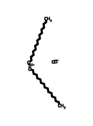 CCCCCCCCCCCCCCCC[O][Ti+2][O]CCCCCCCCCCCCCCCC.[Cl-].[Cl-]